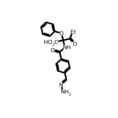 CCC(=O)C(NC(=O)c1ccc(C=NN)cc1)(Oc1ccccc1)C(=O)O